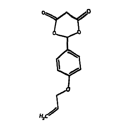 C=CCOc1ccc(C2OC(=O)CC(=O)O2)cc1